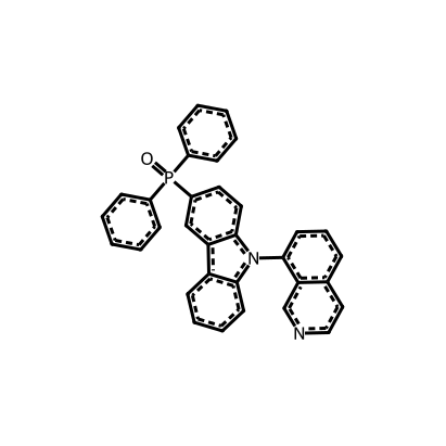 O=P(c1ccccc1)(c1ccccc1)c1ccc2c(c1)c1ccccc1n2-c1cccc2ccncc12